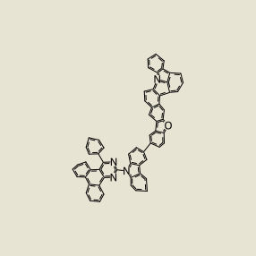 c1ccc(-c2nc(-n3c4ccccc4c4cc(-c5ccc6oc7cc8c(ccc9c8c8cccc%10c%11ccccc%11n9c%108)cc7c6c5)ccc43)nc3c4ccccc4c4ccccc4c23)cc1